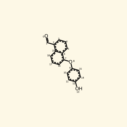 O=Cc1cccc2c(Oc3ccc(O)cc3)cccc12